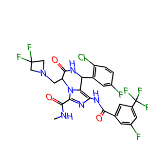 CNC(=O)c1nc(NC(=O)c2cc(F)cc(C(F)(F)F)c2)c2n1C(CN1CC(F)(F)C1)C(=O)NC2c1cc(F)ccc1Cl